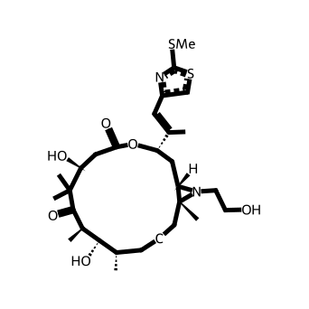 CSc1nc(/C=C(\C)[C@@H]2C[C@@H]3N(CCO)[C@]3(C)CCC[C@H](C)[C@H](O)[C@@H](C)C(=O)C(C)(C)[C@@H](O)CC(=O)O2)cs1